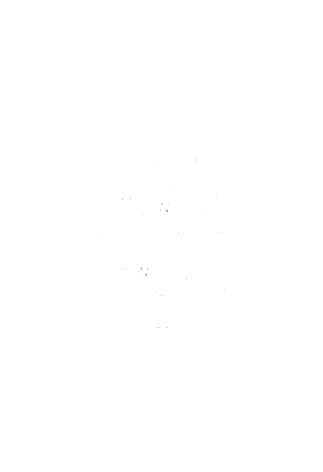 O=c1c2c3ccccc3n(-c3ccccc3)c2c(-c2ccccc2)c2c3ccccc3c3ccccc3n12